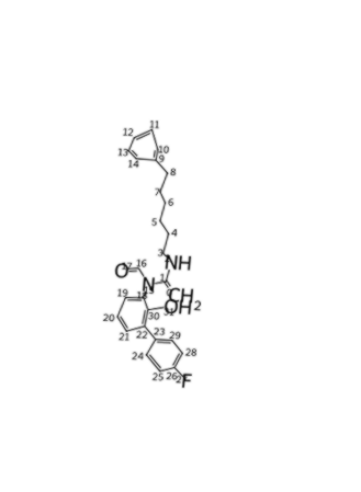 C=C(NCCCCCCc1ccccc1)N(C=O)c1cccc(-c2ccc(F)cc2)c1O